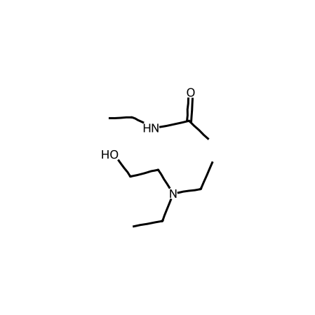 CCN(CC)CCO.CCNC(C)=O